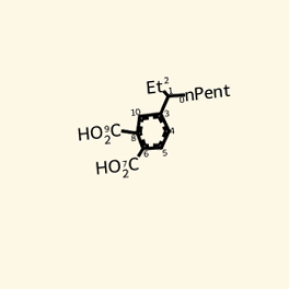 CCCCCC(CC)c1ccc(C(=O)O)c(C(=O)O)c1